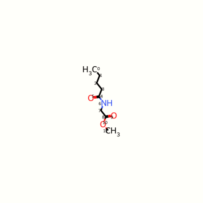 CCCCC(=O)NCC(=O)OC